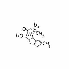 Cc1ccc2c(c1)C1C(C2)C(CO)N2C(=O)CC(C)(C)N12